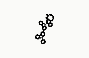 C=C1/C=C\C=C/Cc2c(cc(-n3c4ccccc4c4cc(-c5ccc6c(c5)c5ccccc5n6-c5ccccc5)ccc43)c3ccccc23)C1(C)C